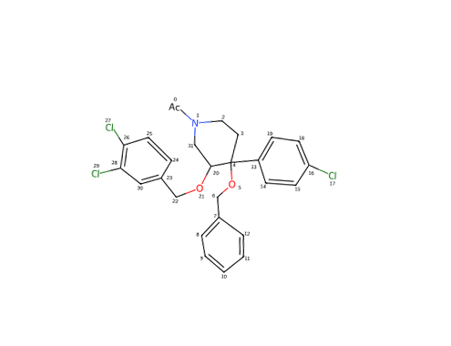 CC(=O)N1CCC(OCc2ccccc2)(c2ccc(Cl)cc2)C(OCc2ccc(Cl)c(Cl)c2)C1